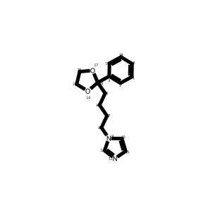 c1ccc(C2(CCCCn3ccnc3)OCCO2)cc1